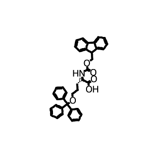 O=C(N[C@@H](CCCOC(c1ccccc1)(c1ccccc1)c1ccccc1)C(=O)O)OCC1c2ccccc2-c2ccccc21